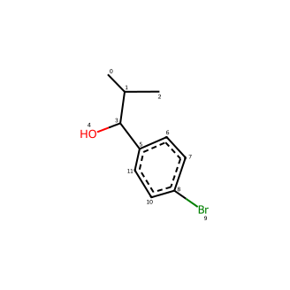 CC(C)C(O)c1ccc(Br)cc1